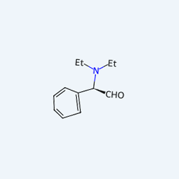 CCN(CC)[C@@H](C=O)c1ccccc1